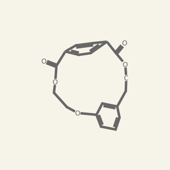 O=C1OCCOc2cccc(c2)CCOC(=O)c2ccc1cc2